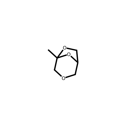 CC12COCC(CO1)O2